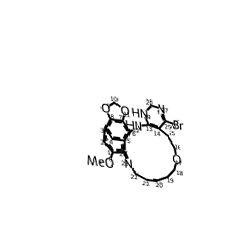 COc1cc2cc3c(c4c2OCO4)NC2=C(CCOCCCCC/N=c/13)C(Br)=NCN2